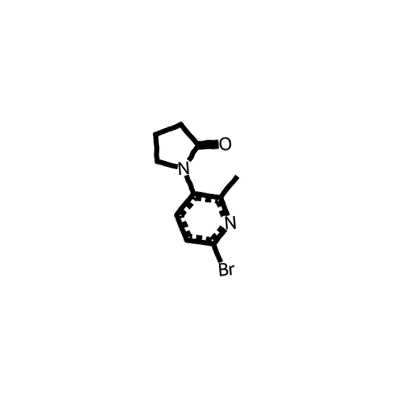 Cc1nc(Br)ccc1N1CCCC1=O